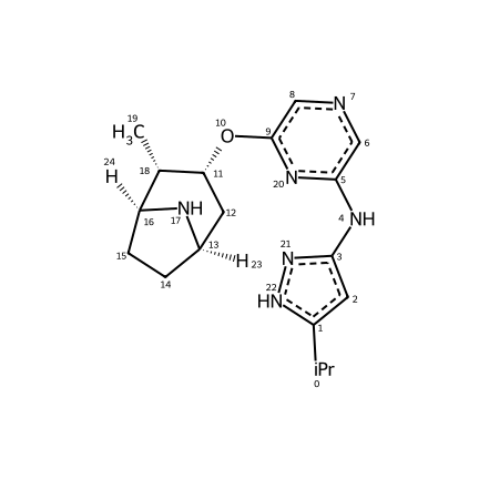 CC(C)c1cc(Nc2cncc(O[C@@H]3C[C@H]4CC[C@H](N4)[C@@H]3C)n2)n[nH]1